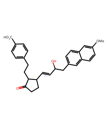 COc1ccc2cc(CC(O)/C=C/C3CCC(=O)C3CCc3ccc(C(=O)O)cc3)ccc2c1